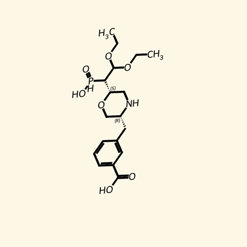 CCOC(OCC)C([C@@H]1CN[C@H](Cc2cccc(C(=O)O)c2)CO1)[PH](=O)O